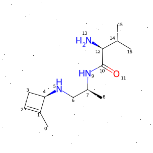 CC1=CC[C@H]1NC[C@H](C)NC(=O)[C@@H](N)C(C)C